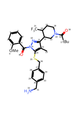 COc1ccccc1C(=O)n1nc(C2CN(C(=O)C(C)(C)C)CCC2C(F)(F)F)c(C)c1SCc1ccc(CN)cc1